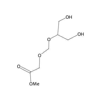 COC(=O)COCOC(CO)CO